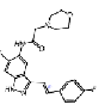 O=C(CN1CCOCC1)Nc1cc2c(/C=C/c3ccc(F)cc3)n[nH]c2cc1F